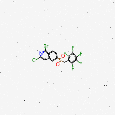 O=S(=O)(Cc1c(F)c(F)c(F)c(F)c1F)c1ccc2c(Br)nc(Cl)cc2c1